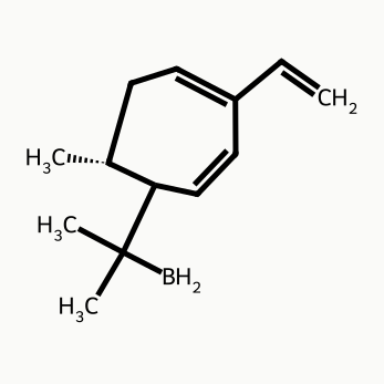 BC(C)(C)C1C=CC(C=C)=CC[C@H]1C